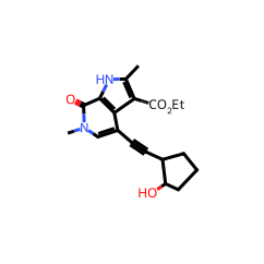 CCOC(=O)c1c(C)[nH]c2c(=O)n(C)cc(C#CC3CCCC3O)c12